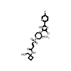 C[C@H]1CN(S(=O)(=O)C=CC(=O)NC2(CO)CCC2)CC[C@H]1c1[nH]c(-c2ccc(F)cn2)nc1Cl